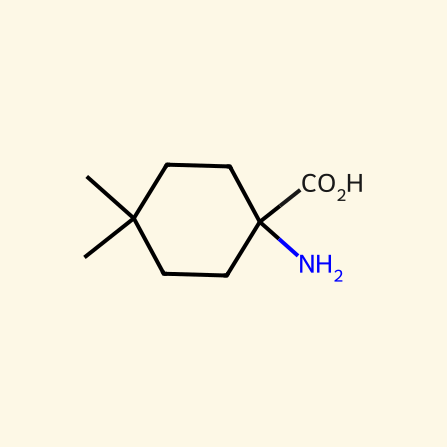 CC1(C)CCC(N)(C(=O)O)CC1